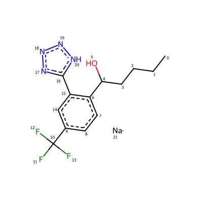 CCCCC(O)c1ccc(C(F)(F)F)cc1-c1nnn[nH]1.[Na]